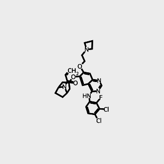 C=CC(=O)N1C2CCC1CC(Oc1cc3c(Nc4ccc(Cl)c(Cl)c4F)ncnc3cc1OCCN1CCC1)C2